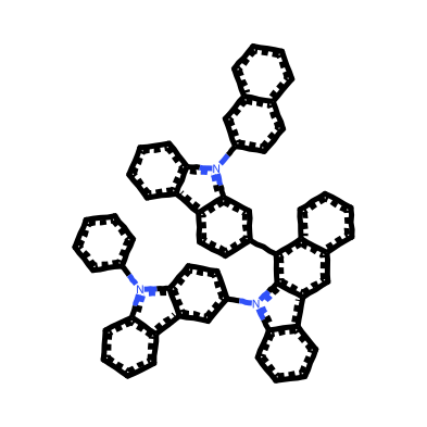 c1ccc(-n2c3ccccc3c3cc(-n4c5ccccc5c5cc6ccccc6c(-c6ccc7c8ccccc8n(-c8ccc9ccccc9c8)c7c6)c54)ccc32)cc1